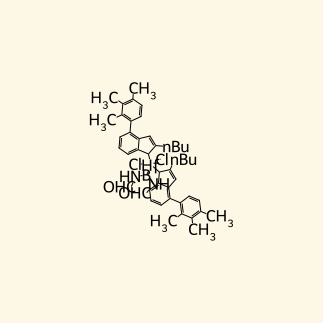 CCCCC1=Cc2c(-c3ccc(C)c(C)c3C)cccc2[CH]1[Hf]([Cl])([Cl])([B](NC=O)NC=O)[CH]1C(CCCC)=Cc2c(-c3ccc(C)c(C)c3C)cccc21